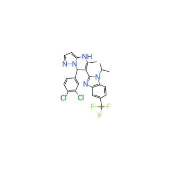 CC1=C(c2nc3cc(C(F)(F)F)ccc3n2C(C)C)C(c2ccc(Cl)c(Cl)c2)n2nccc2N1